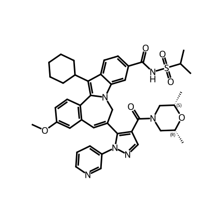 COc1ccc2c(c1)C=C(c1c(C(=O)N3C[C@@H](C)O[C@@H](C)C3)cnn1-c1cccnc1)Cn1c-2c(C2CCCCC2)c2ccc(C(=O)NS(=O)(=O)C(C)C)cc21